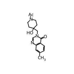 CC(=O)N1CCC(O)(Cn2cnc3cc(C)ccc3c2=O)CC1